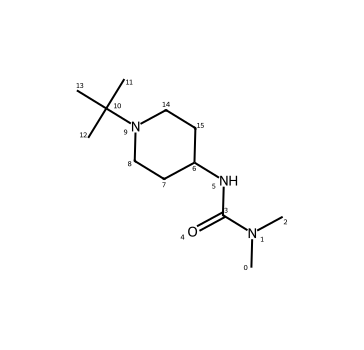 CN(C)C(=O)NC1CCN(C(C)(C)C)CC1